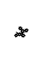 C=C1c2ccccc2-c2cc3c4ccccc4n(-c4cc(-c5ccccc5)cc(-c5ccccc5)c4)c3cc21